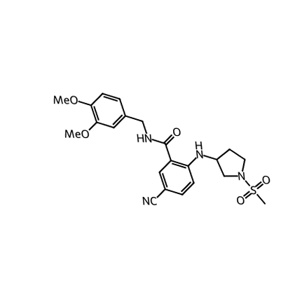 COc1ccc(CNC(=O)c2cc(C#N)ccc2NC2CCN(S(C)(=O)=O)C2)cc1OC